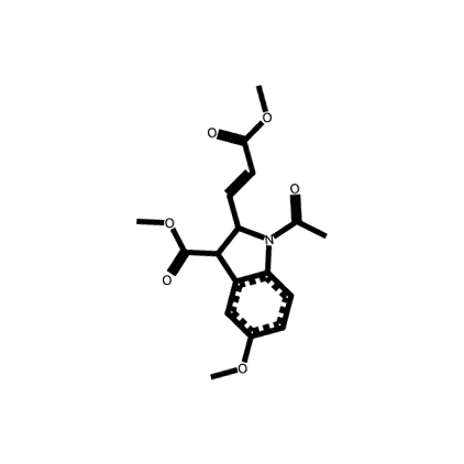 COC(=O)C=CC1C(C(=O)OC)c2cc(OC)ccc2N1C(C)=O